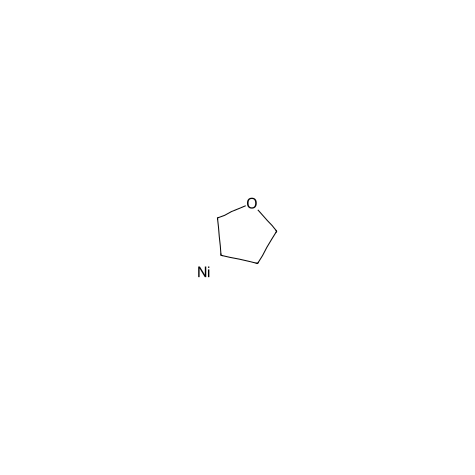 C1CCOC1.[Ni]